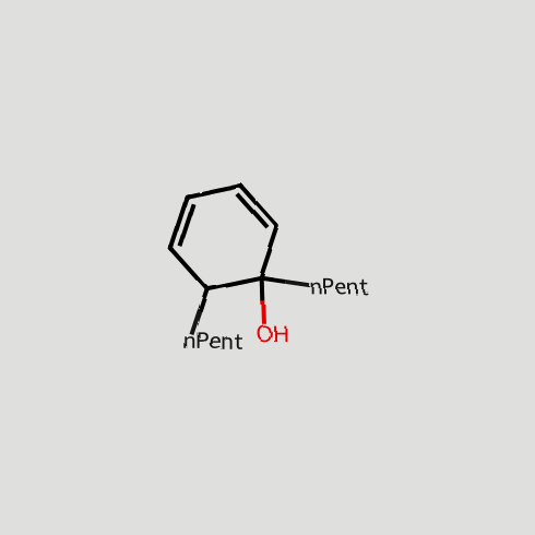 CCCCCC1C=CC=CC1(O)CCCCC